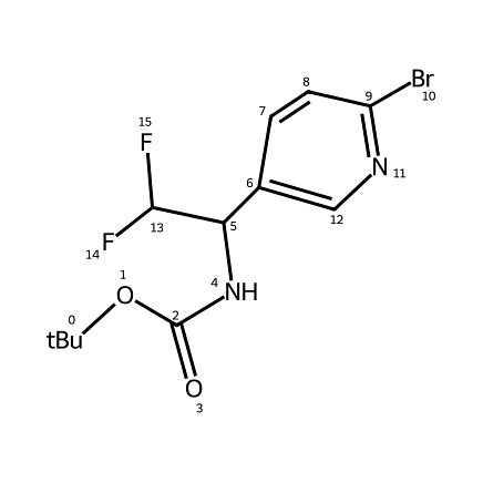 CC(C)(C)OC(=O)NC(c1ccc(Br)nc1)C(F)F